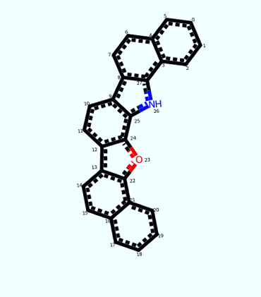 c1ccc2c(c1)ccc1c3ccc4c5ccc6ccccc6c5oc4c3[nH]c21